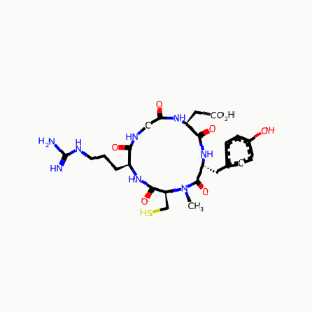 CN1C(=O)[C@@H](Cc2ccc(O)cc2)NC(=O)[C@H](CC(=O)O)NC(=O)CNC(=O)[C@H](CCCNC(=N)N)NC(=O)[C@@H]1CS